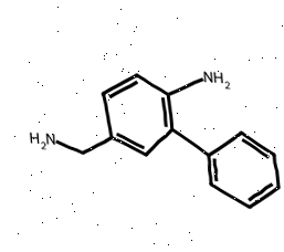 NCc1ccc(N)c(-c2ccccc2)c1